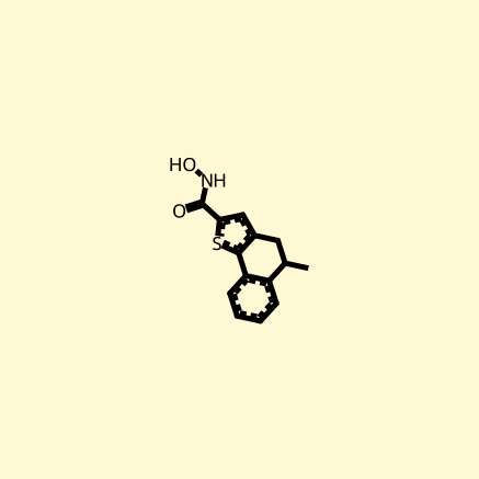 CC1Cc2cc(C(=O)NO)sc2-c2ccccc21